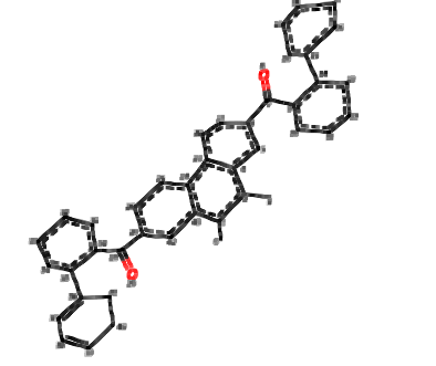 Cc1c(C)c2cc(C(=O)c3ccccc3-c3ccccc3)ccc2c2ccc(C(=O)c3ccccc3C3=CC=CCC3)cc12